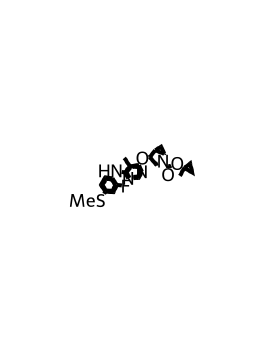 CSc1ccc(Nc2ncnc(OC3CN(C(=O)OC4(C)CC4)C4CC34)c2C)c(F)c1